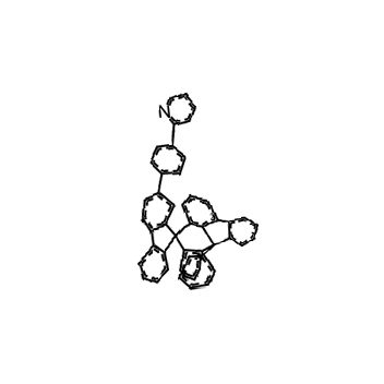 c1ccc(C23c4ccccc4-c4cccc(c42)C2(c4ccccc4-c4ccc(-c5ccc(-c6ccccn6)cc5)cc42)c2ccccc23)cc1